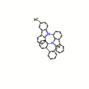 N#Cc1ccc2c(c1)c1ccccc1n2-c1cccc2c3ccccc3n(-c3ccccc3-c3ccccc3C#N)c12